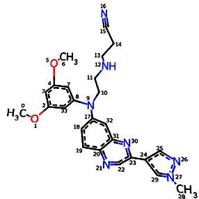 COc1cc(OC)cc(N(CCNCCC#N)c2ccc3ncc(-c4cnn(C)c4)nc3c2)c1